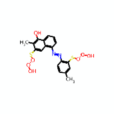 Cc1ccc(N=Nc2cccc3c(O)c(C)c(SOOO)cc23)c(SOOO)c1